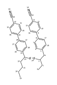 CCC(F)Cc1ccc(-c2ccc(C#N)cc2)cc1.CCCCC(F)c1ccc(-c2ccc(C#N)cc2)cc1